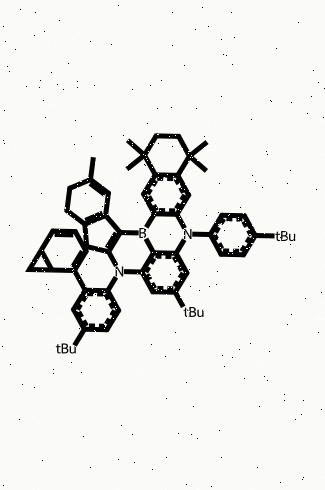 CC1=CC2=C(CC1)CC1=C2B2c3cc4c(cc3N(c3ccc(C(C)(C)C)cc3)c3cc(C(C)(C)C)cc(c32)N1c1ccc(C(C)(C)C)cc1C1=CC=CC2CC12)C(C)(C)CCC4(C)C